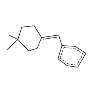 CC1(C)CCC(=Cc2ccccc2)CC1